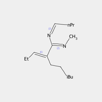 CC/C=C(CCC(C)CC)/C(/N=C\CCC)=N/C